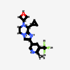 Cc1ncc(-c2cn3c(n2)C(C2CC2)N(C2COC2)CC3)cc1C(F)(F)F